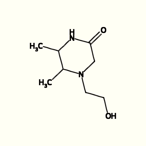 CC1NC(=O)CN(CCO)C1C